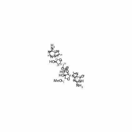 COC[C@H]1O[C@@H](n2cnc3c(=O)[nH]c(N)nc32)[C@H](OP(=O)(O)OC[C@@H]2C[C@@H](O)[C@H](c3cnc4c(N)ncnn34)O2)[C@@H]1O